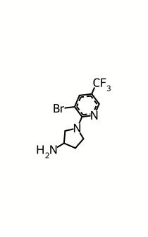 NC1CCN(c2ncc(C(F)(F)F)cc2Br)C1